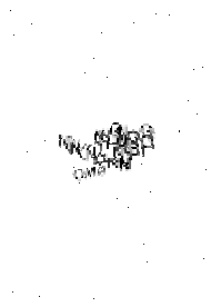 COc1cc(N2CCC(N3CCN(C)CC3)CC2)c(-c2cnn(C)c2)cc1Nc1ncc(Br)c(Nc2cc3c(cc2N(C)S(C)(=O)=O)OCCO3)n1